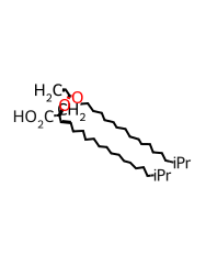 C=C(C=CCCCCCCCCCCCCCC(C)C)C(=O)O.C=CC(=O)OCCCCCCCCCCCCCCCC(C)C